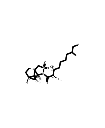 C[C@@H](C(=O)N1[C@H]2C[C@@H]3CC[C@@]2(CS1(=O)=O)C3(C)C)[C@H](O)CCCCC(F)CF